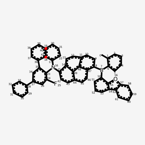 Cc1ccccc1B(c1ccc2ccc3c(N(c4ccccc4)c4c(F)cc(-c5ccccc5)cc4-c4ccccc4)ccc4ccc1c2c43)c1cccc2c1oc1ccccc12